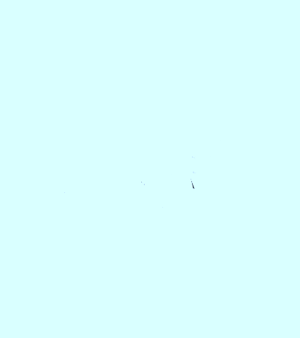 CC[C@H](NC(=O)OC(C)(C)C)c1oc(-c2ccc(OC)c(OCC3CC3)c2)nc1C(=O)O